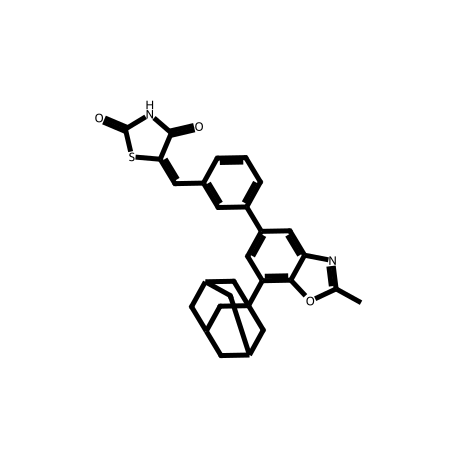 Cc1nc2cc(-c3cccc(C=C4SC(=O)NC4=O)c3)cc(C34CC5CC(CC(C5)C3)C4)c2o1